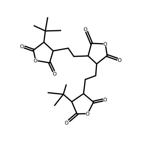 CC(C)(C)C1C(=O)OC(=O)C1CCC1C(=O)OC(=O)C1CCC1C(=O)OC(=O)C1C(C)(C)C